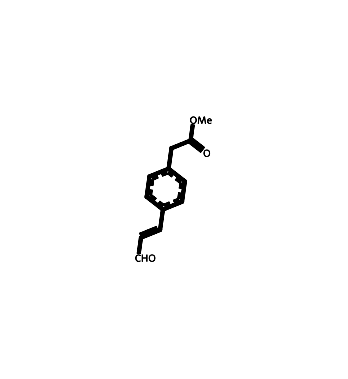 COC(=O)Cc1ccc(C=CC=O)cc1